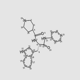 CN1CCC(C(=O)N[C@@H](Cc2c[nH]c3ccccc23)C(=O)Nc2ccncc2)CC1